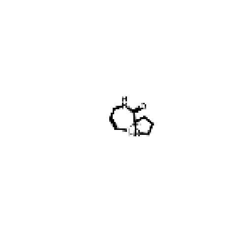 O=C1NCC=CC[C@@]12CCCN2